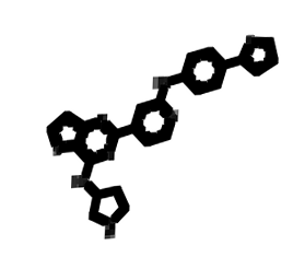 c1csc(-c2ccc(Nc3cc(-c4nc(NC5CCNC5)c5sccc5n4)ccn3)cc2)c1